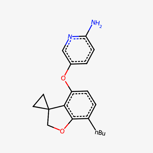 CCCCc1ccc(Oc2ccc(N)nc2)c2c1OCC21CC1